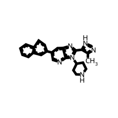 Cc1nc[nH]c1-c1nc2cc(-c3ccc4ccccc4c3)cnc2n1C1CCNCC1